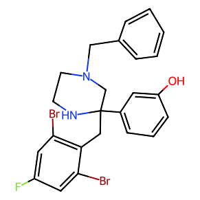 Oc1cccc(C2(Cc3c(Br)cc(F)cc3Br)CN(Cc3ccccc3)CCN2)c1